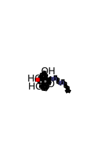 CCCN1c2c(O)cccc2C(=O)N(C/C=C(\C)CC/C=C(\C)CCC=C(C)C)c2cc(O)cc(O)c21